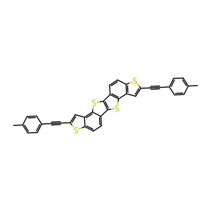 Cc1ccc(C#Cc2cc3c(ccc4c3sc3c5ccc6sc(C#Cc7ccc(C)cc7)cc6c5sc43)s2)cc1